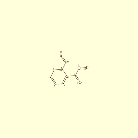 O=C(OCl)c1ccccc1C=S